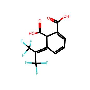 O=C(O)C1=CC=CC(=C(C(F)(F)F)C(F)(F)F)C1C(=O)O